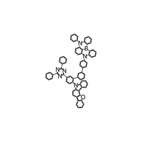 c1ccc(-c2nc(-c3ccccc3)nc(-c3ccc(-n4c5ccccc5c5c6oc7ccccc7c6ccc54)c(-c4cccc(-c5ccc(N6c7ccccc7B7c8ccccc8N(c8ccccc8)c8cccc6c87)cc5)c4)c3)n2)cc1